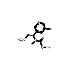 CN(C(=O)OC(C)(C)C)[C@@H](CC(=O)O)c1cncc(Br)c1